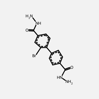 NNC(=O)c1ccc(-c2ccc(C(=O)NN)cc2Br)cc1